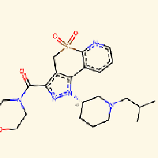 CC(C)CN1CCC[C@H](n2nc(C(=O)N3CCOCC3)c3c2-c2cccnc2S(=O)(=O)C3)C1